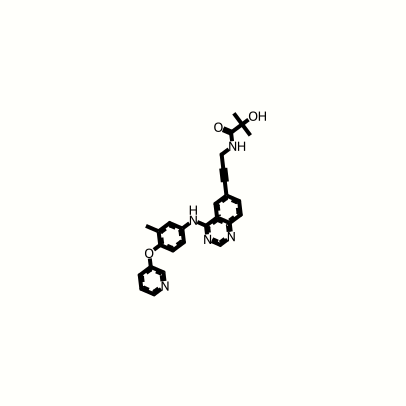 Cc1cc(Nc2ncnc3ccc(C#CCNC(=O)C(C)(C)O)cc23)ccc1Oc1cccnc1